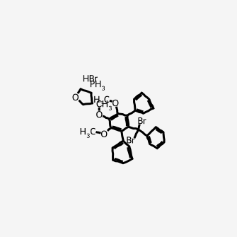 Br.C1CCOC1.COc1c(OC)c(-c2ccccc2)c(C(Br)(Br)c2ccccc2)c(-c2ccccc2)c1OC.P